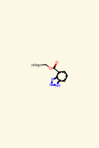 CCCCCCCCOC(=O)c1cccc2[nH]nnc12